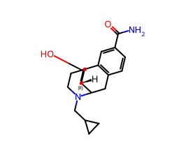 NC(=O)c1ccc2c(c1)C13CCN(CC4CC4)C(C2)[C@@H]1CCC(O)C3